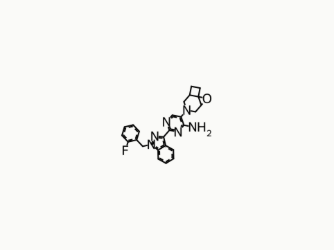 Nc1nc(-c2nn(Cc3ccccc3F)c3ccccc23)ncc1N1CC2CCC23OC3C1